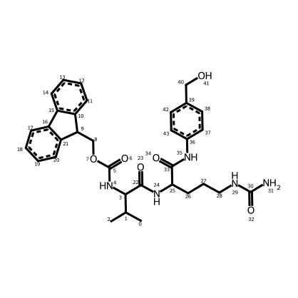 CC(C)C(NC(=O)OCC1c2ccccc2-c2ccccc21)C(=O)NC(CCCNC(N)=O)C(=O)Nc1ccc(CO)cc1